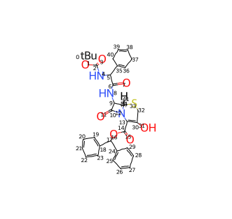 CC(C)(C)OC(=O)NC(C(=O)NC1C(=O)N2C(C(=O)OC(c3ccccc3)c3ccccc3)=C(O)CS[C@@H]12)C1=CCC=CC1